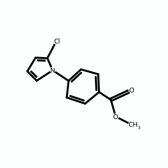 COC(=O)c1ccc(-n2cccc2Cl)cc1